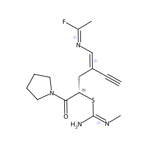 C#C/C(=C/N=C(\C)F)C[C@H](S/C(N)=N\C)C(=O)N1CCCC1